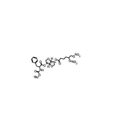 CC(C)(C)OC(=O)NC(Cc1ccccc1)C(=O)O[C@@H]1CO[C@H]2[C@@H]1OC[C@H]2OC(=O)CCCC(CO[N+](=O)[O-])O[N+](=O)[O-]